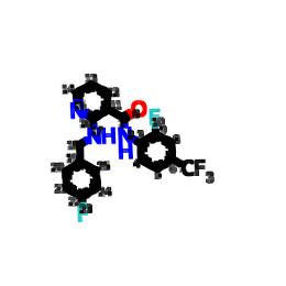 O=C(Nc1ccc(C(F)(F)F)cc1F)c1cccnc1NCc1ccc(F)cc1